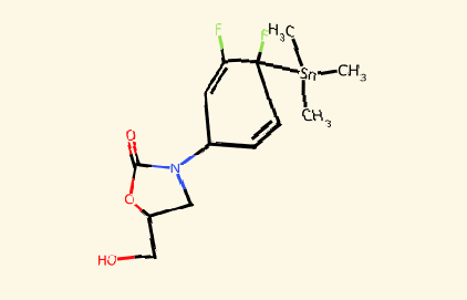 [CH3][Sn]([CH3])([CH3])[C]1(F)C=CC(N2CC(CO)OC2=O)C=C1F